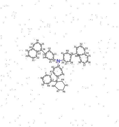 c1ccc(C2(c3ccc(N(c4ccc(-c5cccc6ccccc56)cc4)c4ccc(-c5cccc6ccccc56)cc4)cc3)CCCCC2)cc1